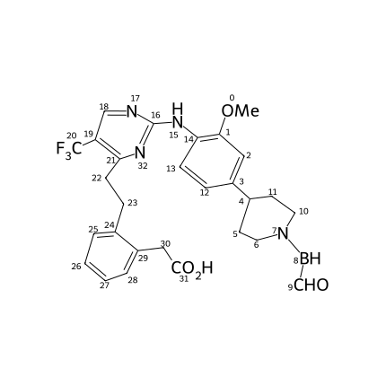 COc1cc(C2CCN(BC=O)CC2)ccc1Nc1ncc(C(F)(F)F)c(CCc2ccccc2CC(=O)O)n1